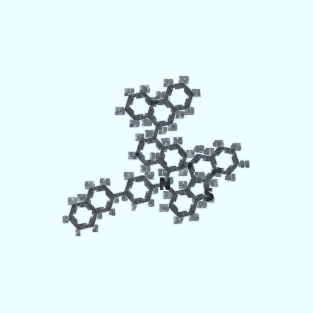 c1ccc2cc(-c3ccc(N(c4cccc5c(-c6cc7ccccc7c7ccccc67)cccc45)c4cccc5sc6c7ccccc7ccc6c45)cc3)ccc2c1